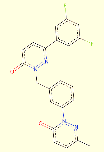 Cc1ccc(=O)n(-c2cccc(Cn3nc(-c4cc(F)cc(F)c4)ccc3=O)c2)n1